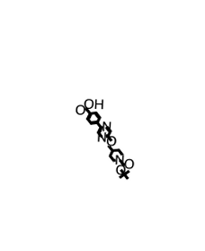 CC(C)(C)OC(=O)N1CCC(COc2cnc(-c3ccc(C(=O)O)cc3)cn2)CC1